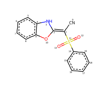 N#C/C(=C1\Nc2ccccc2O1)S(=O)(=O)c1ccccc1